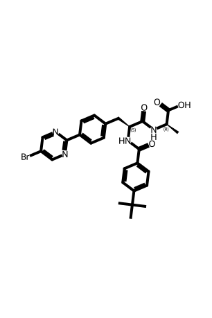 C[C@@H](NC(=O)[C@H](Cc1ccc(-c2ncc(Br)cn2)cc1)NC(=O)c1ccc(C(C)(C)C)cc1)C(=O)O